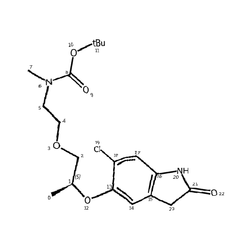 C[C@@H](COCCN(C)C(=O)OC(C)(C)C)Oc1cc2c(cc1Cl)NC(=O)C2